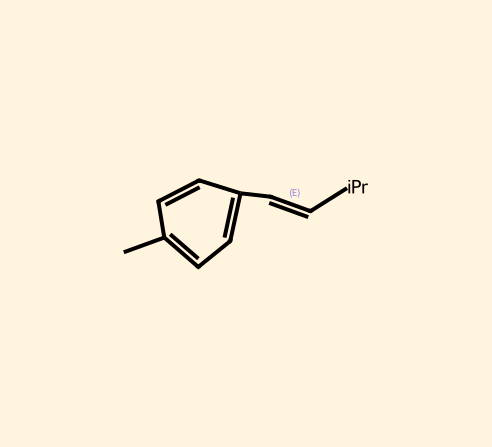 Cc1ccc(/C=C/C(C)C)cc1